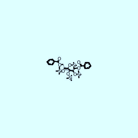 C[Si](C)(C)O[C@@H]([C@H](O[Si](C)(C)C)[C@@H](COC(=O)c1ccccc1)O[Si](C)(C)C)[C@@H](COC(=O)c1ccccc1)O[Si](C)(C)C